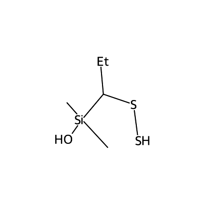 CCC(SS)[Si](C)(C)O